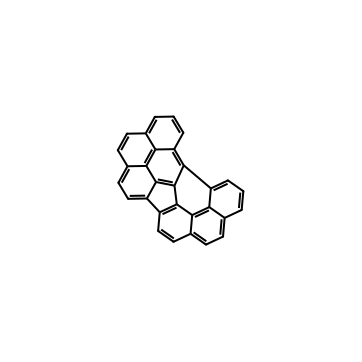 c1cc2ccc3ccc4c5c3c2c(c1)c1c2cccc3ccc6ccc-4c(c6c32)c51